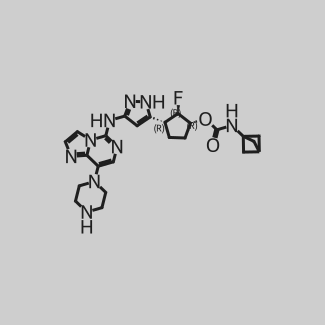 O=C(NC12CC(C1)C2)O[C@@H]1CC[C@H](c2cc(Nc3ncc(N4CCNCC4)c4nccn34)n[nH]2)[C@H]1F